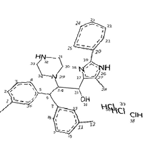 Cc1cccc(C(c2cccc(C)c2)C(C(O)c2nc(-c3ccccc3)[nH]c2C)N2CCNCC2)c1.Cl.Cl.Cl